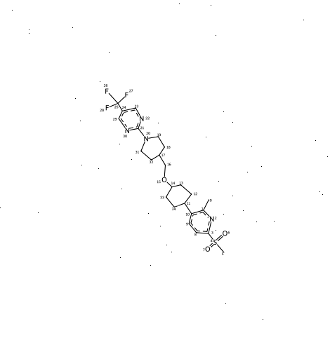 Cc1nc(S(C)(=O)=O)ccc1C1CCC(OCC2CCN(c3ncc(C(F)(F)F)cn3)CC2)CC1